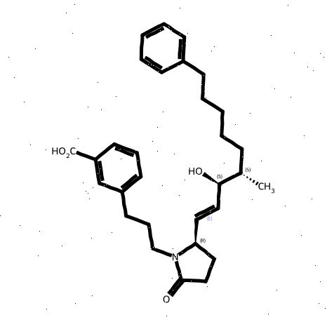 C[C@@H](CCCCCc1ccccc1)[C@H](O)/C=C/[C@H]1CCC(=O)N1CCCc1cccc(C(=O)O)c1